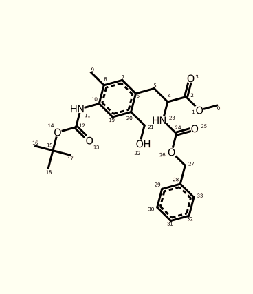 COC(=O)C(Cc1cc(C)c(NC(=O)OC(C)(C)C)cc1CO)NC(=O)OCc1ccccc1